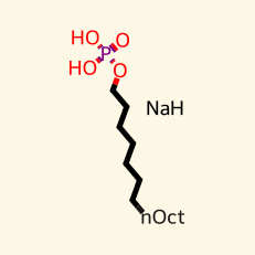 CCCCCCCCCCCCCCCOP(=O)(O)O.[NaH]